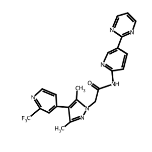 Cc1nn(CC(=O)Nc2ccc(-c3ncccn3)cn2)c(C)c1-c1ccnc(C(F)(F)F)c1